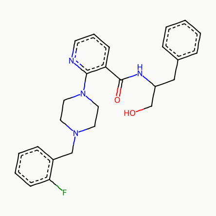 O=C(NC(CO)Cc1ccccc1)c1cccnc1N1CCN(Cc2ccccc2F)CC1